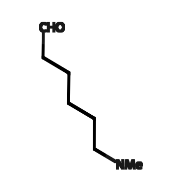 CNCCCCCC=O